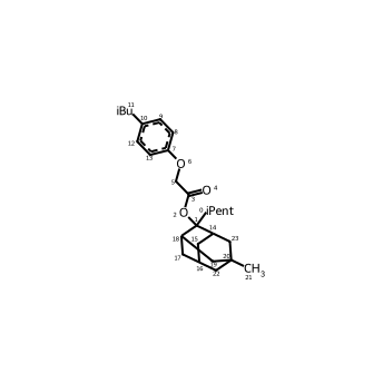 CCCC(C)C1(OC(=O)COc2ccc(C(C)CC)cc2)C2CC3CC1CC(C)(C3)C2